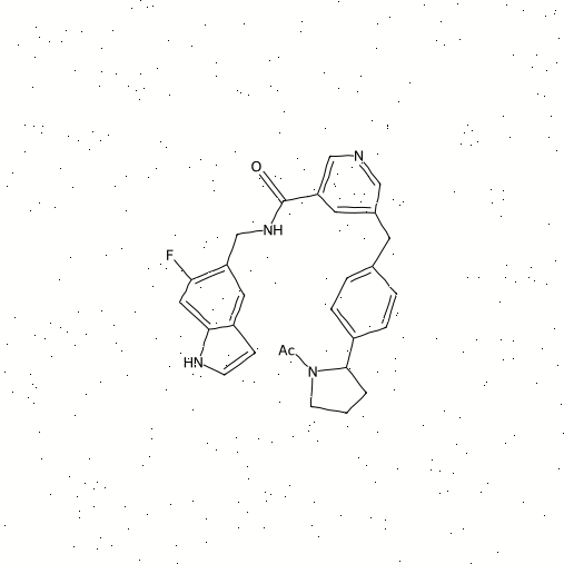 CC(=O)N1CCCC1c1ccc(Cc2cncc(C(=O)NCc3cc4cc[nH]c4cc3F)c2)cc1